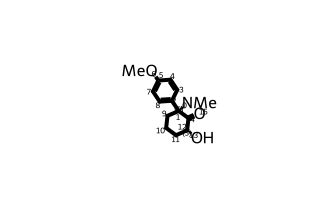 CN[C@]1(c2ccc(OC)cc2)CCC[C@H](O)C1=O